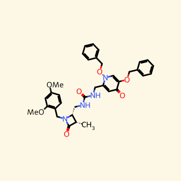 COc1ccc(CN2C(=O)[C@@H](C)[C@H]2CNC(=O)NCc2cc(=O)c(OCc3ccccc3)cn2OCc2ccccc2)c(OC)c1